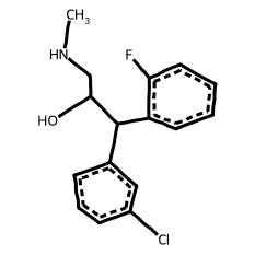 CNCC(O)C(c1cccc(Cl)c1)c1ccccc1F